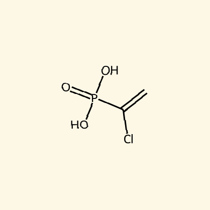 C=C(Cl)P(=O)(O)O